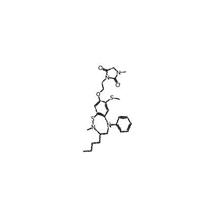 CCCCC1CN(c2ccccc2)c2cc(SC)c(OCCN3C(=O)CN(C)C3=O)cc2SN1C